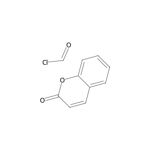 O=CCl.O=c1ccc2ccccc2o1